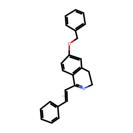 C(=C\c1ccccc1)/C1=NCCc2cc(OCc3ccccc3)ccc21